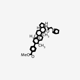 COC(=O)c1ccc(C2=CCC3(C)C(CCC4(C)C3CCC3[C@H]5CCC[C@]5(NC(=O)CN5CC6CCC5C6)CC[C@]34C)C2C)cc1